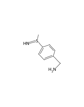 CS(=N)c1ccc(CN)cc1